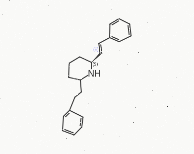 C(=C\[C@@H]1CCCC(CCc2ccccc2)N1)/c1ccccc1